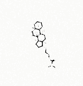 CC[C@H]1[C@@H](O)[C@@H]2[C@H](CC[C@]3(C)[C@@H](CCCOC(=O)N(C)C)CC[C@@H]23)[C@@]2(C)CC[C@@H](O)C[C@@H]12